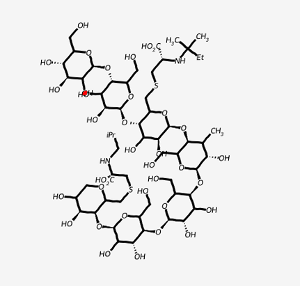 CCC(C)(C)N[C@H](CSCC1O[C@@H](O[C@@H]2C(CO)O[C@H](O[C@@H]3C(CO)O[C@H](O[C@@H]4C(CO)O[C@H](O[C@@H]5C(CSC[C@@H](NCC(C)C)C(=O)O)OCC(O)[C@@H]5O)C(O)[C@H]4O)[C@@H](O)C3O)[C@@H](O)C2C)[C@@H](O)C(O)[C@@H]1O[C@@H]1OC(CO)[C@@H](O[C@@H]2OC(CO)[C@@H](O)[C@H](O)C2O)C(O)[C@@H]1O)C(=O)O